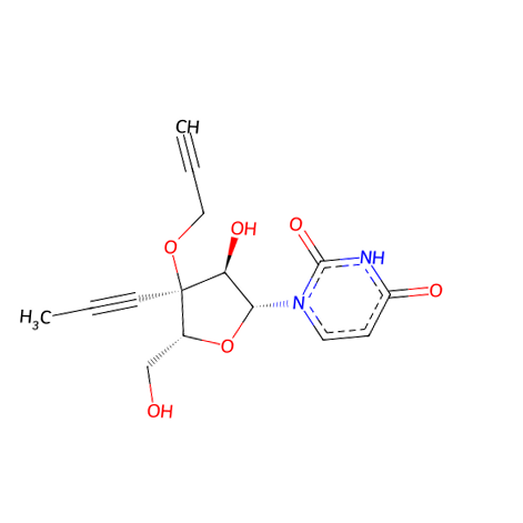 C#CCO[C@]1(C#CC)[C@@H](CO)O[C@@H](n2ccc(=O)[nH]c2=O)[C@@H]1O